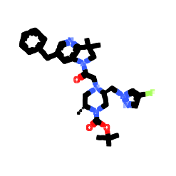 C[C@@H]1CN(CC(=O)N2CC(C)(C)c3ncc(Cc4ccccc4)cc32)[C@@H](Cn2cc(F)cn2)CN1C(=O)OC(C)(C)C